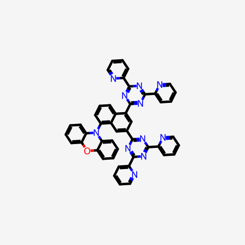 c1ccc(-c2nc(-c3cc(-c4nc(-c5ccccn5)nc(-c5ccccn5)n4)c4cccc(N5c6ccccc6Oc6ccccc65)c4c3)nc(-c3ccccn3)n2)nc1